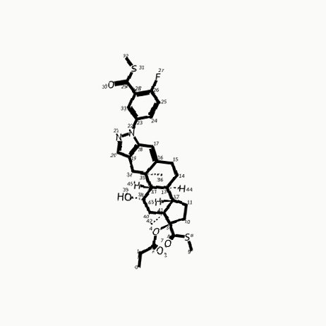 CCC(=O)O[C@]1(C(=O)SC)CC[C@H]2[C@@H]3CCC4=Cc5c(cnn5-c5ccc(F)c(C(=O)SC)c5)C[C@]4(C)[C@H]3[C@@H](O)C[C@@]21C